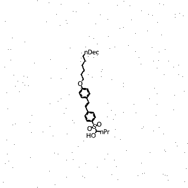 CCCCCCCCCCCCCCCCOc1ccc(C=Cc2ccc(S(=O)(=O)C(O)CCC)cc2)cc1